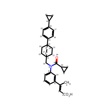 C/C(=C\C(=O)O)c1cccc(N(CC23CCC(c4ccc(C5CC5)cc4)(CC2)CC3)C(=O)C2CC2)c1